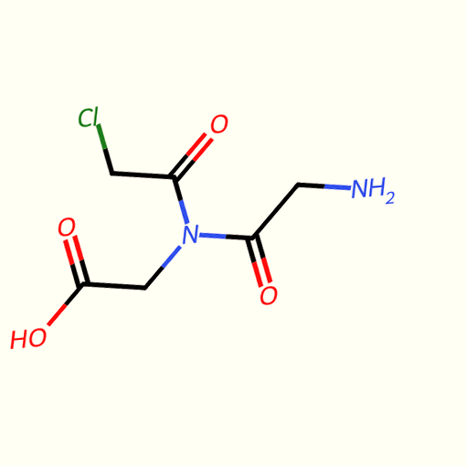 NCC(=O)N(CC(=O)O)C(=O)CCl